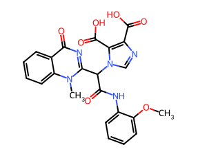 COc1ccccc1NC(=O)C(c1nc(=O)c2ccccc2n1C)n1cnc(C(=O)O)c1C(=O)O